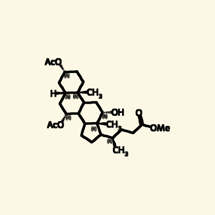 COC(=O)CC[C@@H](C)C1CCC2C3C(C[C@H](O)[C@@]21C)[C@@]1(C)CC[C@@H](OC(C)=O)C[C@H]1C[C@H]3OC(C)=O